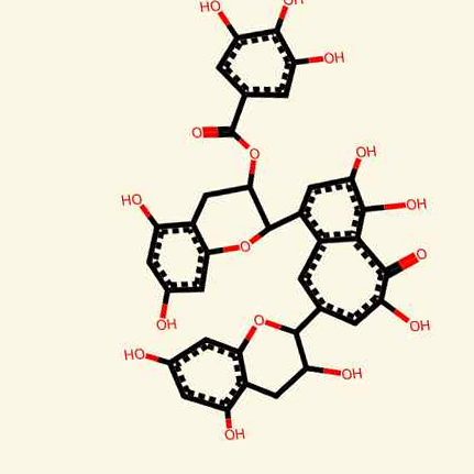 O=C(OC1Cc2c(O)cc(O)cc2OC1c1cc(O)c(O)c2c(=O)c(O)cc(C3Oc4cc(O)cc(O)c4CC3O)cc12)c1cc(O)c(O)c(O)c1